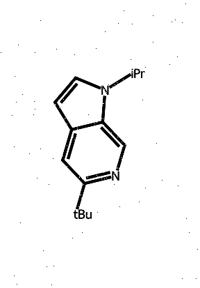 CC(C)n1ccc2cc(C(C)(C)C)ncc21